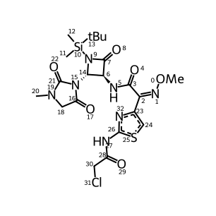 CO/N=C(\C(=O)N[C@@H]1C(=O)N([Si](C)(C)C(C)(C)C)[C@H]1N1C(=O)CN(C)C1=O)c1csc(NC(=O)CCl)n1